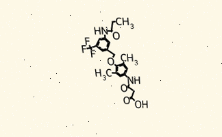 CCC(=O)Nc1cc(COc2c(C)cc(NC(=O)CC(=O)O)cc2C)cc(C(F)(F)F)c1